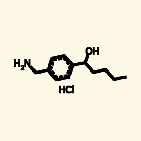 CCCCC(O)c1ccc(CN)cc1.Cl